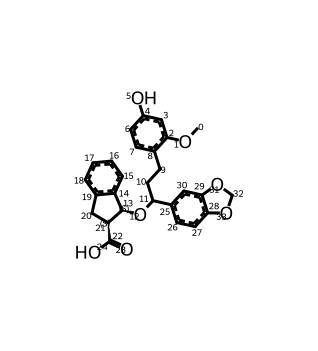 COc1cc(O)ccc1CCC(O[C@@H]1c2ccccc2C[C@@H]1C(=O)O)c1ccc2c(c1)OCO2